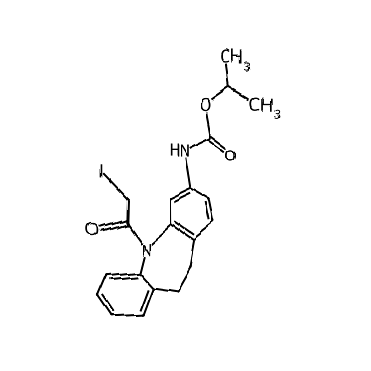 CC(C)OC(=O)Nc1ccc2c(c1)N(C(=O)CI)c1ccccc1CC2